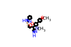 COc1ccc(C2CC(=O)C3=C(C2)N(C)c2n[nH]cc2C3c2ccc(SC3=NC4C=CC=CC4N3)o2)cc1